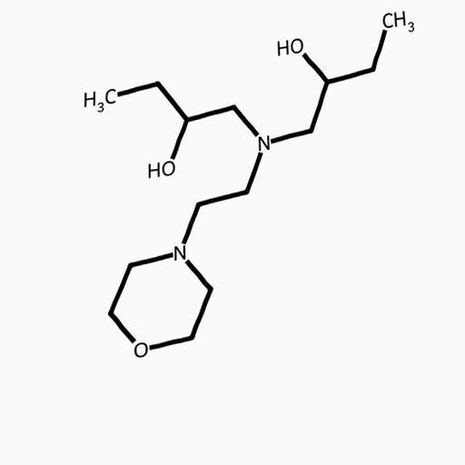 CCC(O)CN(CCN1CCOCC1)CC(O)CC